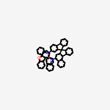 c1ccc(N(c2ccccc2)c2ccc3c(c2)C2(c4ccccc4-3)c3ccccc3-c3c2cc(N(c2ccccc2)c2cccc4oc5ccccc5c24)c2ccccc32)cc1